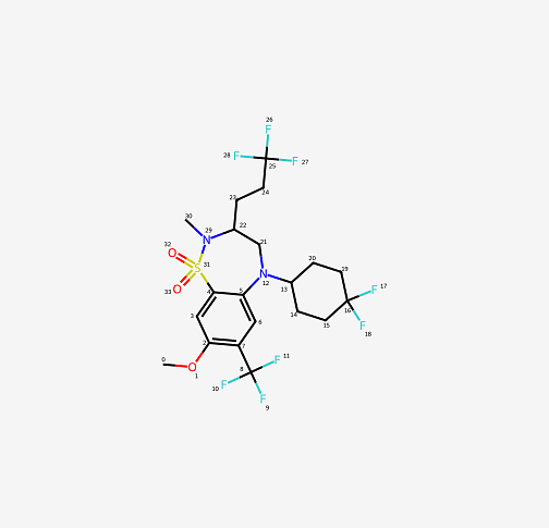 COc1cc2c(cc1C(F)(F)F)N(C1CCC(F)(F)CC1)CC(CCC(F)(F)F)N(C)S2(=O)=O